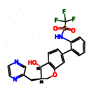 O=S(=O)(Nc1ccccc1-c1ccc2c(c1)OC[C@@H](Cc1cnccn1)[C@@H]2O)C(F)(F)F